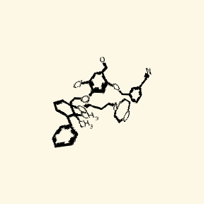 CC1(C)C(c2ccccc2)=CC=CC1(COc1cc(OCc2cccc(C#N)c2)c(C=O)cc1Cl)OCCCN1CCOCC1